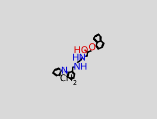 C=C1C=CC=C/C1=N/c1ccccc1CNCCNCC(O)COc1cccc2ccccc12